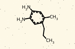 CCCc1cc(N)c(N)cc1C